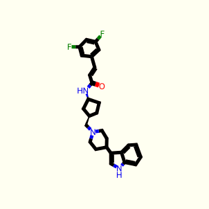 O=C(/C=C/c1cc(F)cc(F)c1)N[C@H]1CC[C@@H](CN2CCC(c3c[nH]c4ccccc34)CC2)C1